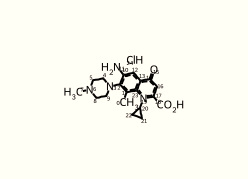 Cc1c(N2CCN(C)CC2)c(N)cc2c(=O)cc(C(=O)O)n(C3CC3)c12.Cl